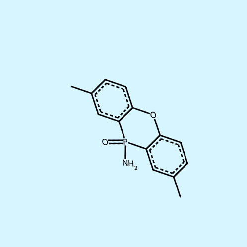 Cc1ccc2c(c1)P(N)(=O)c1cc(C)ccc1O2